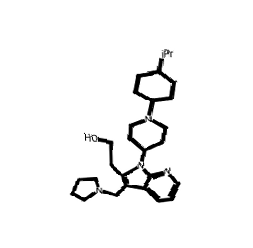 CC(C)C1CCC(N2CCC(n3c(CCO)c(CN4CCCC4)c4cccnc43)CC2)CC1